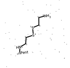 CCCCCNCCSSCCN